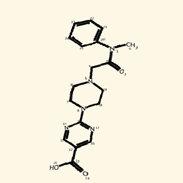 CN(C(=O)CN1CCN(c2ncc(C(=O)O)cn2)CC1)c1ccccc1